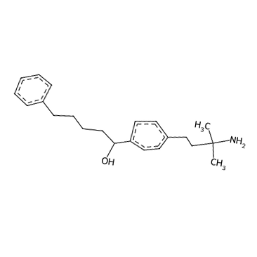 CC(C)(N)CCc1ccc(C(O)CCCCc2ccccc2)cc1